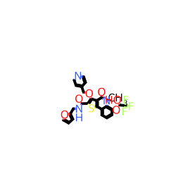 Cn1c(=O)c2c(OCc3ccncc3)c(C(=O)NCc3ccco3)sc2c2ccccc21.O=C(O)C(F)(F)F